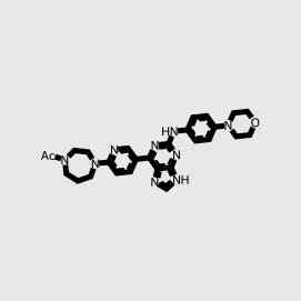 CC(=O)N1CCCN(c2ccc(-c3nc(Nc4ccc(N5CCOCC5)cc4)nc4[nH]cnc34)cn2)CC1